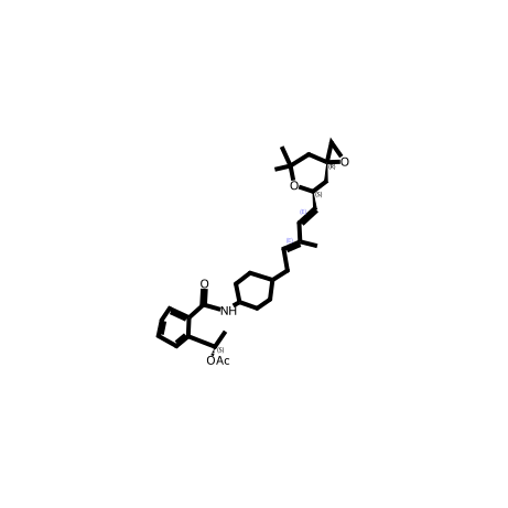 CC(=O)O[C@@H](C)c1ccccc1C(=O)NC1CCC(C/C=C(C)/C=C/[C@@H]2C[C@]3(CO3)CC(C)(C)O2)CC1